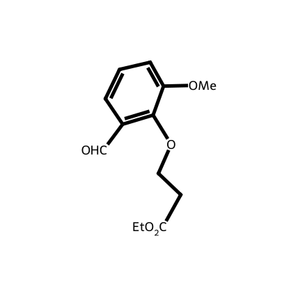 CCOC(=O)CCOc1c(C=O)cccc1OC